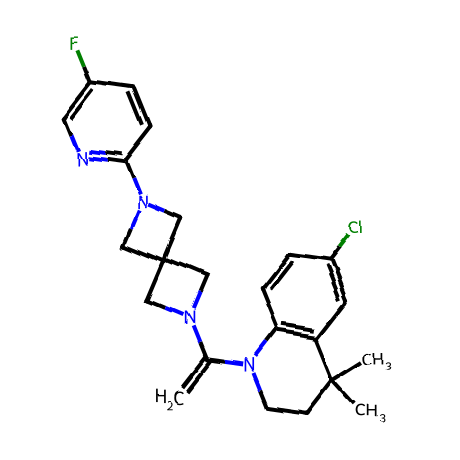 C=C(N1CC2(C1)CN(c1ccc(F)cn1)C2)N1CCC(C)(C)c2cc(Cl)ccc21